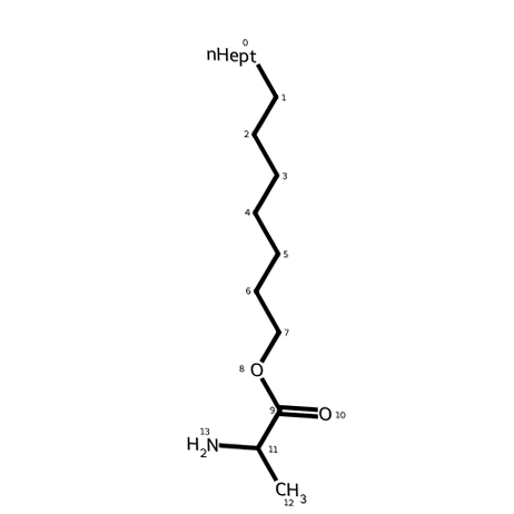 CCCCCCCCCCCCCCOC(=O)C(C)N